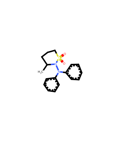 CC1CCCS(=O)(=O)N1N(c1ccccc1)c1ccccc1